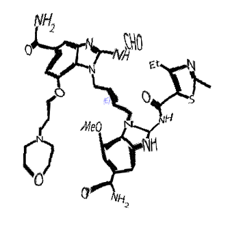 CCc1nc(C)sc1C(=O)NC1Nc2cc(C(N)=O)cc(OC)c2N1C/C=C/Cn1c(NC=O)nc2cc(C(N)=O)cc(OCCCN3CCOCC3)c21